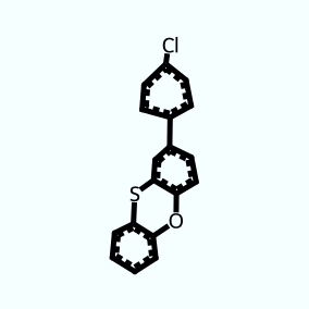 Clc1ccc(-c2ccc3c(c2)Sc2ccccc2O3)cc1